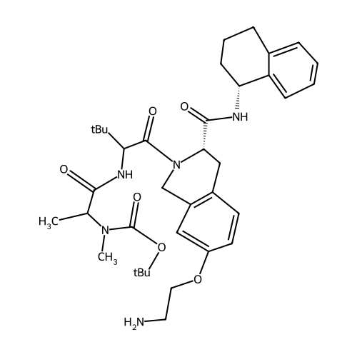 CC(C(=O)NC(C(=O)N1Cc2cc(OCCN)ccc2C[C@H]1C(=O)N[C@@H]1CCCc2ccccc21)C(C)(C)C)N(C)C(=O)OC(C)(C)C